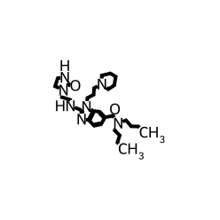 CCCCN(CCCC)C(=O)c1ccc2nc(NCCN3CCNC3=O)n(CCCN3CCCCC3)c2c1